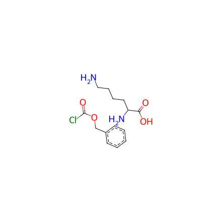 NCCCCC(N)C(=O)O.O=C(Cl)OCc1ccccc1